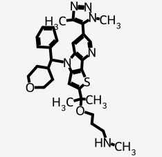 CNCCCOC(C)(C)c1cc2c(s1)c1ncc(-c3c(C)nnn3C)cc1n2C(c1ccccc1)C1CCOCC1